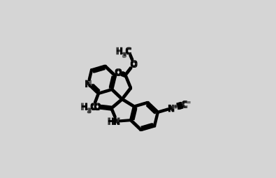 [C-]#[N+]c1ccc2c(c1)C(CC(=O)OC)(c1cccnc1C)C(=O)N2